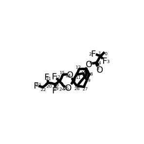 CC(F)(F)C(=O)OC12CC3CC(C1)C1(OCC(F)(C(F)C(F)CF)CO1)C(C3)C2